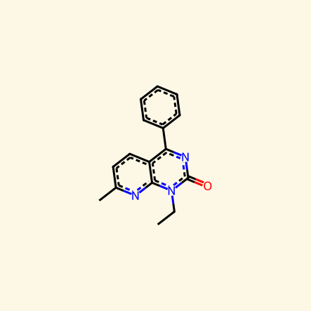 CCn1c(=O)nc(-c2ccccc2)c2ccc(C)nc21